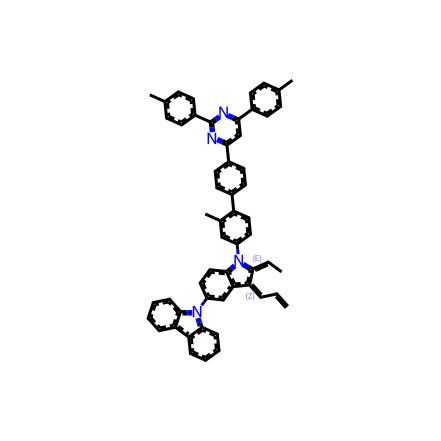 C=C/C=c1\c(=C/C)n(-c2ccc(-c3ccc(-c4cc(-c5ccc(C)cc5)nc(-c5ccc(C)cc5)n4)cc3)c(C)c2)c2ccc(-n3c4ccccc4c4ccccc43)cc12